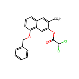 O=C(O)c1cc2cccc(OCc3ccccc3)c2cc1OC(=O)C(Cl)Cl